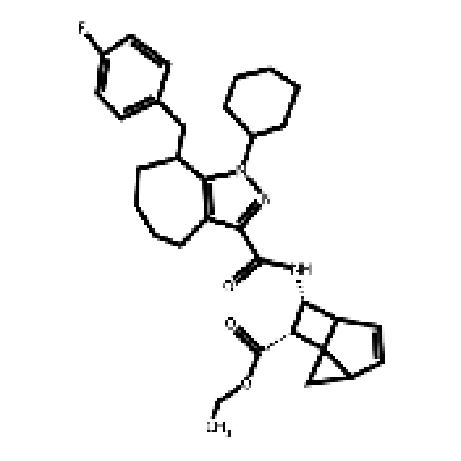 CCOC(=O)[C@@H]1[C@H](NC(=O)c2nn(C3CCCCC3)c3c2CCCCC3Cc2ccc(F)cc2)C2C=CC3CC321